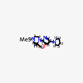 CSN1CCN2c3ncc(N4CCCCC4)cc3OC[C@@H]2C1